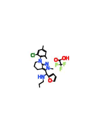 CCCNC(c1ccco1)c1c2c(nn1C)N(c1c(C)cc(C)cc1Cl)CCC2.O=C(O)C(F)(F)F